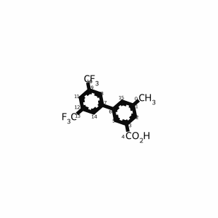 Cc1cc(C(=O)O)cc(-c2cc(C(F)(F)F)cc(C(F)(F)F)c2)c1